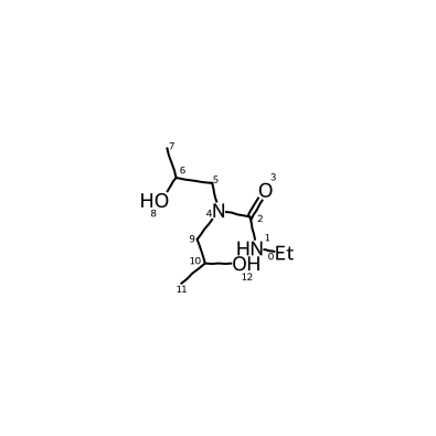 [CH2]CNC(=O)N(CC(C)O)CC(C)O